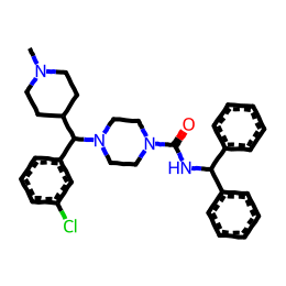 CN1CCC(C(c2cccc(Cl)c2)N2CCN(C(=O)NC(c3ccccc3)c3ccccc3)CC2)CC1